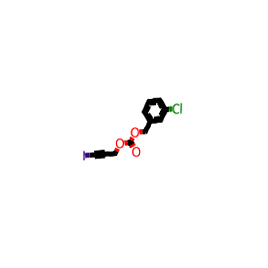 O=C(OCC#CI)OCc1cccc(Cl)c1